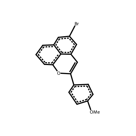 COc1ccc(C2=Cc3cc(Br)cc4cccc(c34)O2)cc1